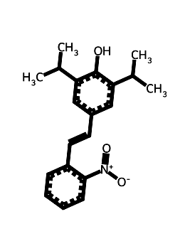 CC(C)c1cc(C=Cc2ccccc2[N+](=O)[O-])cc(C(C)C)c1O